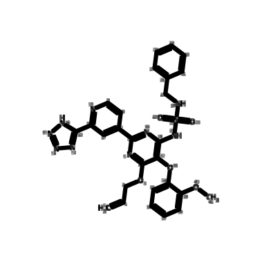 C=CCOc1nc(-c2ccnc(-c3nnn[nH]3)c2)nc(NS(=O)(=O)NCc2ccccc2)c1Oc1ccccc1OC